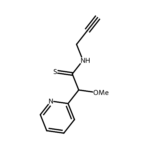 C#CCNC(=S)C(OC)c1ccccn1